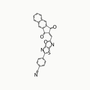 N#Cc1ccc(-c2nc3oc(C=C4C(=O)c5cc6ccccc6cc5C4=O)nc3s2)cc1